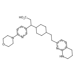 O=C(O)CC(c1ccc(N2CCOCC2)nc1)C1CCC(CCc2ccc3c(n2)NCCC3)CC1